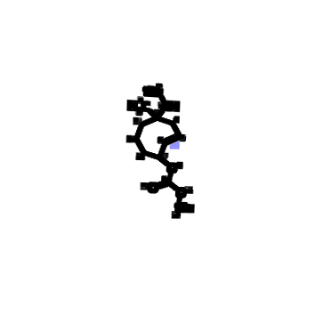 CC(C)(C)NC1(C)C/C=C/C(OC(=O)OC(C)(C)C)CCC1